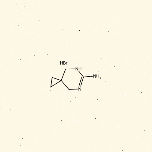 Br.NC1=NCC2(CC2)CN1